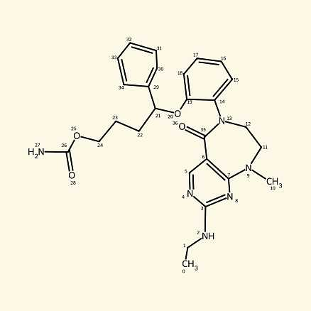 CCNc1ncc2c(n1)N(C)CCN(c1ccccc1OC(CCCOC(N)=O)c1ccccc1)C2=O